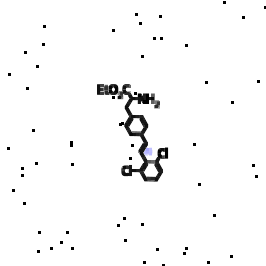 CCOC(=O)C(N)Cc1ccc(/C=C/c2c(Cl)cccc2Cl)cc1